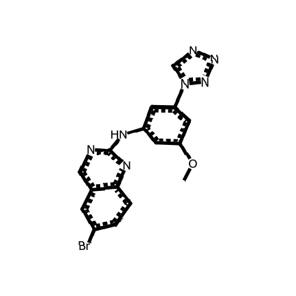 COc1cc(Nc2ncc3cc(Br)ccc3n2)cc(-n2cnnn2)c1